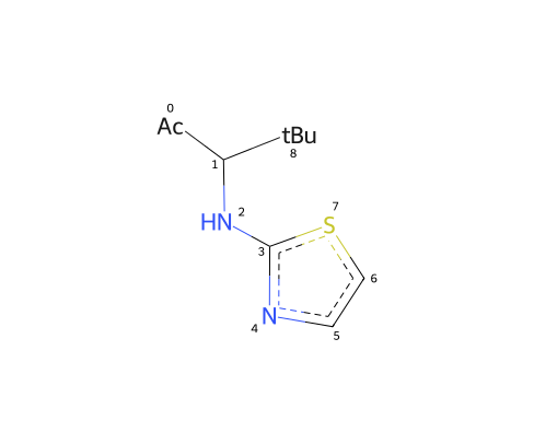 CC(=O)C(Nc1nccs1)C(C)(C)C